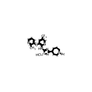 CC(=O)N1CCCC(c2nsc(Nc3ncc(C(F)(F)F)cc3Oc3cccnc3C)n2)CC1.Cl